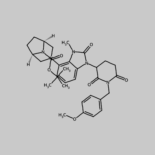 COc1ccc(CN2C(=O)CCC(n3c(=O)n(C)c4c(N5C[C@H]6CC[C@@H](C5)N6C(=O)OC(C)(C)C)cccc43)C2=O)cc1